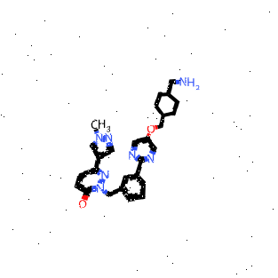 Cn1cc(-c2ccc(=O)n(Cc3cccc(-c4ncc(OCC5CCC(CN)CC5)cn4)c3)n2)cn1